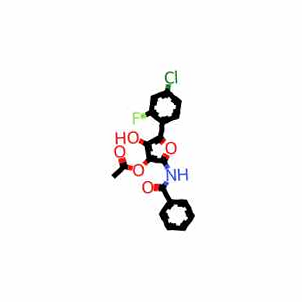 CC(=O)Oc1c(NC(=O)c2ccccc2)oc(-c2ccc(Cl)cc2F)c1O